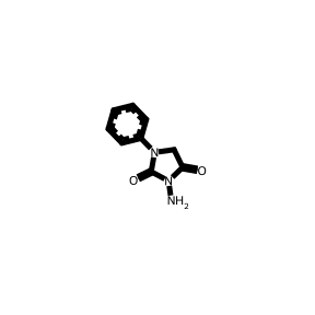 NN1C(=O)CN(c2ccccc2)C1=O